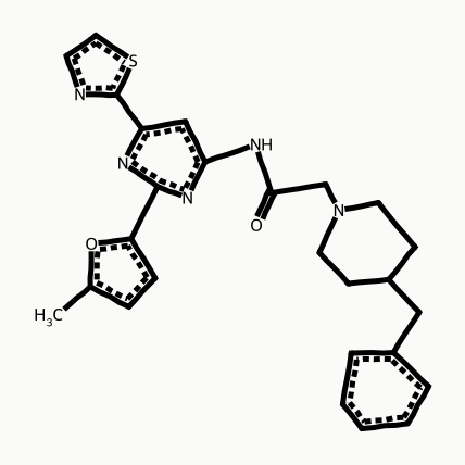 Cc1ccc(-c2nc(NC(=O)CN3CCC(Cc4ccccc4)CC3)cc(-c3nccs3)n2)o1